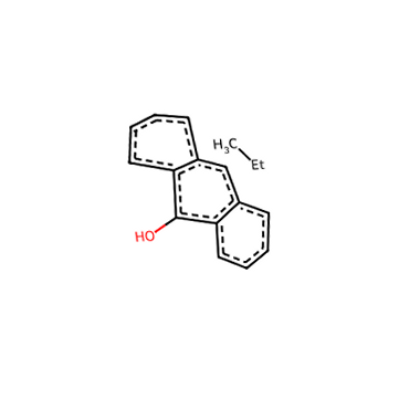 CCC.Oc1c2ccccc2cc2ccccc12